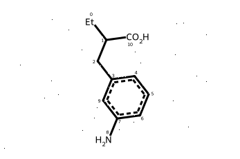 CCC(Cc1cccc(N)c1)C(=O)O